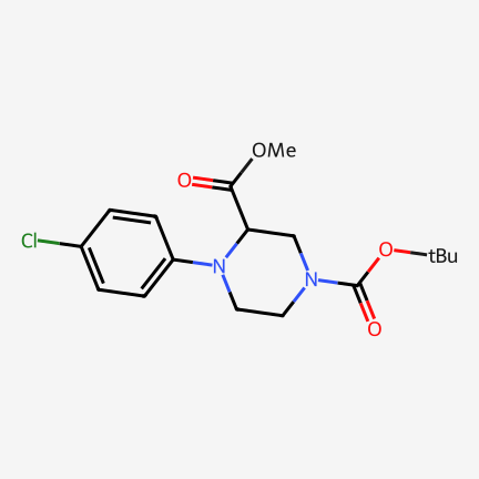 COC(=O)C1CN(C(=O)OC(C)(C)C)CCN1c1ccc(Cl)cc1